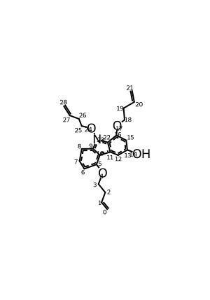 C=CCCOc1cccc2c1c1cc(O)cc(OCCC=C)c1n2OCCC=C